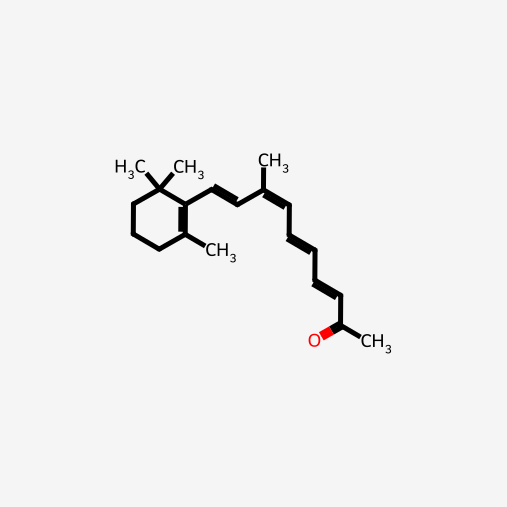 CC(=O)/C=C/C=C/C=C(C)\C=C\C1=C(C)CCCC1(C)C